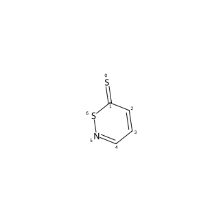 S=c1cccns1